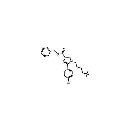 CS(C)(C)CCOCn1cc(C(=O)OCc2ccccc2)nc1-c1ccc(Br)nc1